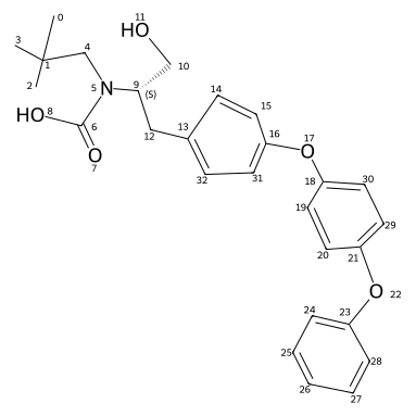 CC(C)(C)CN(C(=O)O)[C@H](CO)Cc1ccc(Oc2ccc(Oc3ccccc3)cc2)cc1